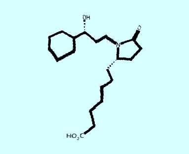 O=C(O)CCCCCC[C@H]1CCC(=O)N1CC[C@@H](O)C1CCCCC1